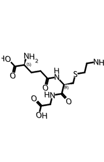 NCCSC[C@H](NC(=O)CC[C@H](N)C(=O)O)C(=O)NCC(=O)O